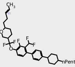 C/C=C/CCC1CCC(C(F)(F)Oc2ccc(-c3ccc(C4CCC(CCCCC)CC4)cc3)c(C(F)F)c2F)CO1